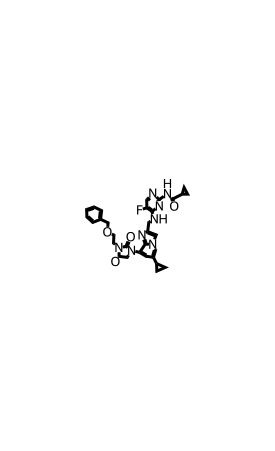 O=C(Nc1ncc(F)c(NCc2cn3cc(C4CC4)cc(N4CC(=O)N(CCOCc5ccccc5)C4=O)c3n2)n1)C1CC1